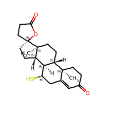 C[C@]12CCC(=O)C=C1C[C@@H](S)[C@@H]1[C@@H]2CC[C@@]2(C)[C@H]1CC[C@@]21CCC(=O)O1